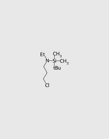 CCN(CCCCl)[Si](C)(C)C(C)(C)C